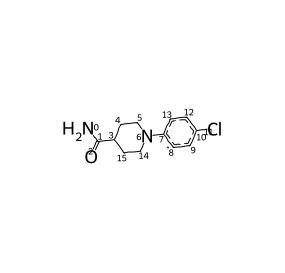 NC(=O)C1CCN(c2[c]cc(Cl)cc2)CC1